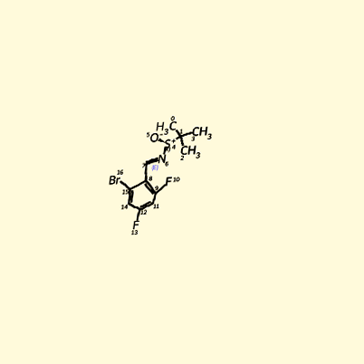 CC(C)(C)[S@+]([O-])/N=C/c1c(F)cc(F)cc1Br